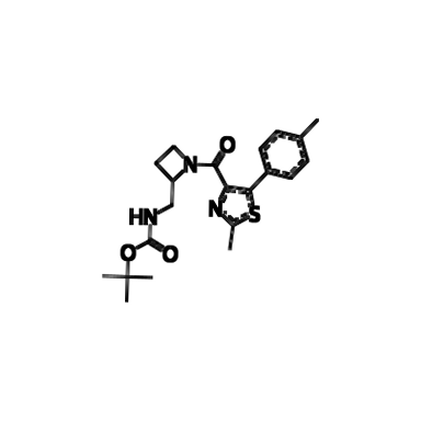 Cc1ccc(-c2sc(C)nc2C(=O)N2CCC2CNC(=O)OC(C)(C)C)cc1